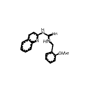 COc1ccccc1CNC(=N)Nc1ccc2ccccc2n1